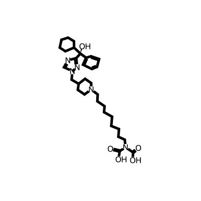 O=C(O)N(CCCCCCCCCN1CCC(Cn2cnc([C@](O)(c3ccccc3)C3CCCCC3)n2)CC1)C(=O)O